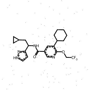 O=C(NC(CC1CC1)c1cc[nH]n1)c1cnc(OCC(F)(F)F)c(C2CCCCC2)c1